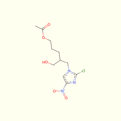 CC(=O)OCCCC(CO)Cn1cc([N+](=O)[O-])nc1Cl